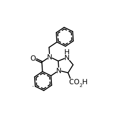 O=C(O)C1CNC2N(Cc3ccccc3)C(=O)c3c[c]ccc3N12